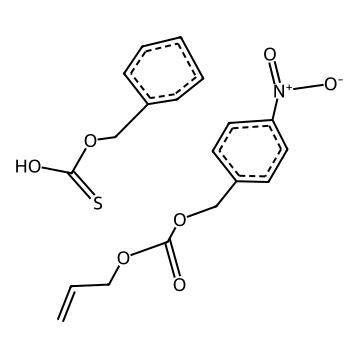 C=CCOC(=O)OCc1ccc([N+](=O)[O-])cc1.OC(=S)OCc1ccccc1